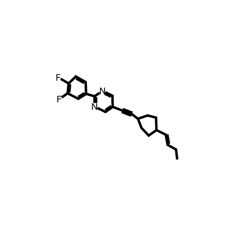 CCC=CC1CCC(C#Cc2cnc(-c3ccc(F)c(F)c3)nc2)CC1